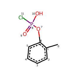 Cc1ccccc1OP(=O)(O)Cl